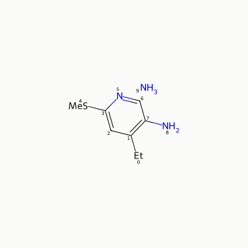 CCc1cc(SC)ncc1N.N